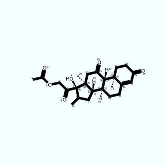 CC(=O)OCC(=O)[C@@]1(O)C(C)C[C@H]2[C@@H]3CCC4=CC(=O)CC[C@]4(C)[C@H]3C(=O)C[C@@]21C